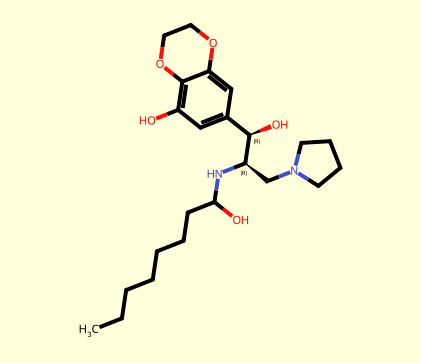 CCCCCCCC(O)N[C@H](CN1CCCC1)[C@H](O)c1cc(O)c2c(c1)OCCO2